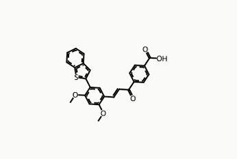 COc1cc(OC)c(-c2cc3ccccc3s2)cc1C=CC(=O)c1ccc(C(=O)O)cc1